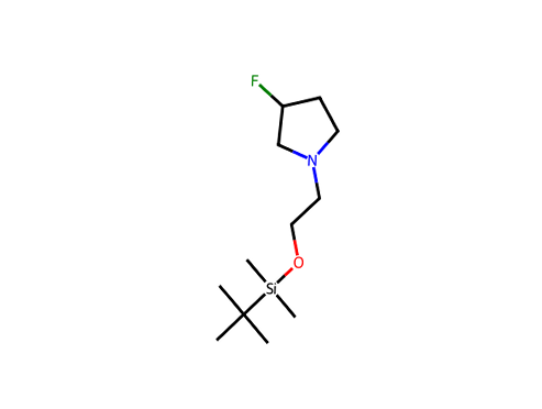 CC(C)(C)[Si](C)(C)OCCN1CCC(F)C1